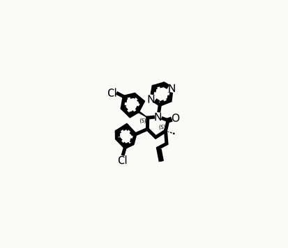 C=CC[C@@]1(C)CC(c2cccc(Cl)c2)[C@@H](c2ccc(Cl)cc2)N(c2cnccn2)C1=O